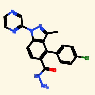 Cc1nn(-c2cnccn2)c2ccc(C(=O)NN)c(-c3ccc(Cl)cc3)c12